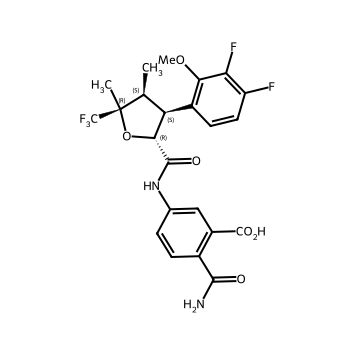 COc1c([C@H]2[C@H](C(=O)Nc3ccc(C(N)=O)c(C(=O)O)c3)O[C@@](C)(C(F)(F)F)[C@H]2C)ccc(F)c1F